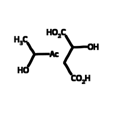 CC(=O)C(C)O.O=C(O)CC(O)C(=O)O